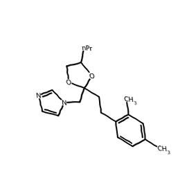 CCCC1COC(CCc2ccc(C)cc2C)(Cn2ccnc2)O1